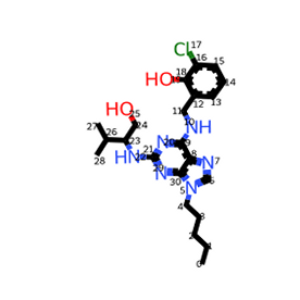 CCCCCn1cnc2c(NCc3cccc(Cl)c3O)nc(NC(CO)C(C)C)nc21